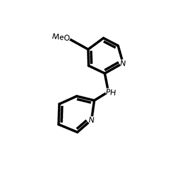 COc1ccnc(Pc2ccccn2)c1